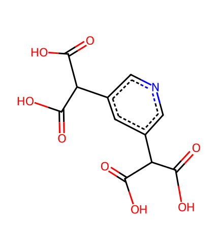 O=C(O)C(C(=O)O)c1cncc(C(C(=O)O)C(=O)O)c1